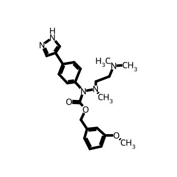 COc1cccc(COC(=O)N(c2ccc(-c3cn[nH]c3)cc2)N(C)CCN(C)C)c1